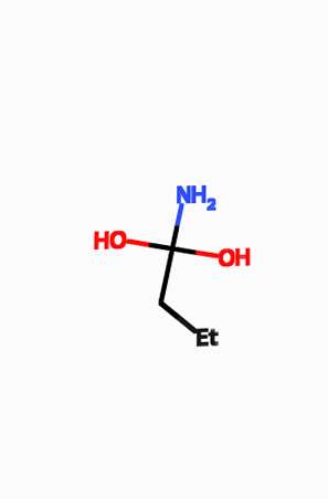 CCCC(N)(O)O